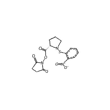 O=C(ON1C(=O)CCC1=O)[C@@H]1CCCN1Sc1ccccc1[N+](=O)[O-]